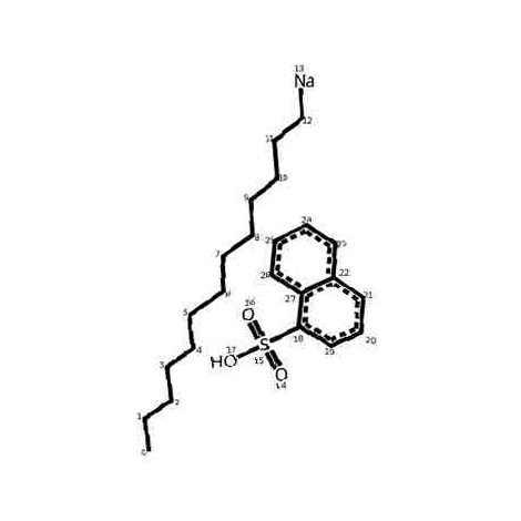 CCCCCCCCCCCC[CH2][Na].O=S(=O)(O)c1cccc2ccccc12